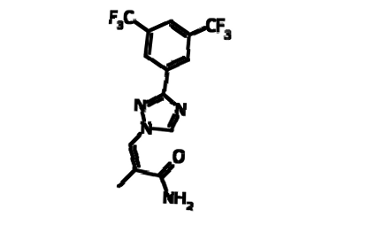 C/C(=C/n1cnc(-c2cc(C(F)(F)F)cc(C(F)(F)F)c2)n1)C(N)=O